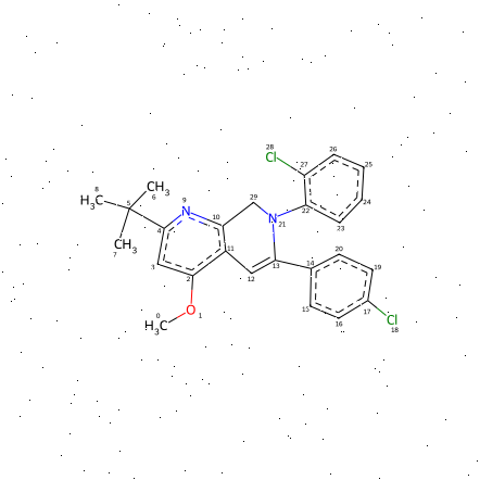 COc1cc(C(C)(C)C)nc2c1C=C(c1ccc(Cl)cc1)N(c1ccccc1Cl)C2